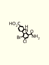 NC(=O)c1cc(Cl)c(Br)c2c1[nH]c1cc(C(=O)O)ccc12